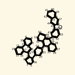 c1ccc(-c2cc3ccccc3c3ccccc23)c(-c2ccc(-c3c4ccccc4c(-c4ccc5oc6cc7ccccc7cc6c5c4)c4ccccc34)cc2)c1